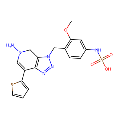 COc1cc(NS(=O)(=O)O)ccc1Cn1nnc2c1CN(N)C=C2c1cccs1